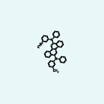 [C-]#[N+]c1cccc(N(c2ccccc2)c2cc3c4ccccc4c(N(c4ccccc4)c4cccc(C)c4)cc3c3ccccc23)c1